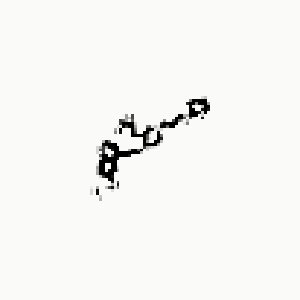 COc1ccc2nccc(CCC[C@@H]3CCN(CCCSc4ncccn4)C[C@@H]3CCC(=O)O)c2c1